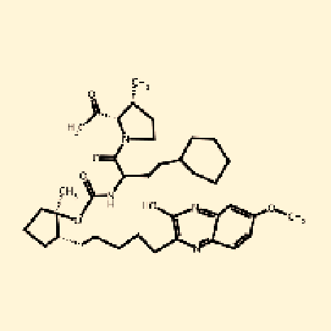 COc1ccc2nc(CCCCC[C@@H]3CCC[C@@]3(C)OC(=O)N[C@H](CCC3CCCCC3)C(=O)N3CC[C@@H](C)[C@H]3C(C)=O)c(O)nc2c1